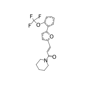 O=C(C=Cc1ccc(-c2ccccc2OC(F)(F)F)o1)N1CCCCC1